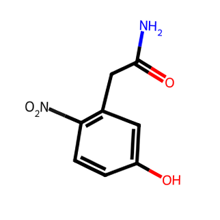 NC(=O)Cc1cc(O)ccc1[N+](=O)[O-]